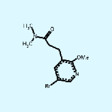 COc1ncc(Br)cc1CCC(=O)N(C)C